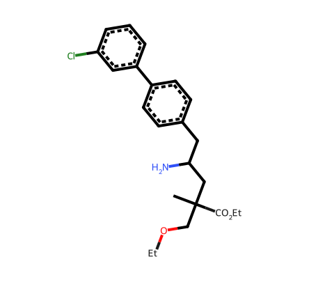 CCOCC(C)(CC(N)Cc1ccc(-c2cccc(Cl)c2)cc1)C(=O)OCC